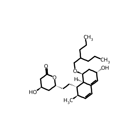 CCCC(CCC)CO[C@H]1C[C@H](O)C=C2C=C[C@@H](C)[C@H](CC[C@@H]3C[C@@H](O)CC(=O)O3)[C@H]21